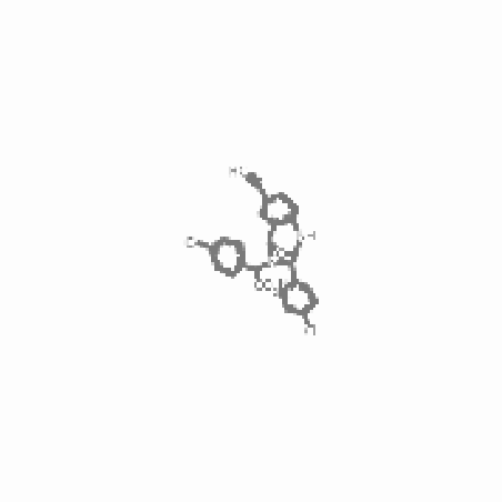 C#Cc1ccc2c(c1)C1OC(N2)C(c2ccc(Cl)cc2)N1C(C(=O)O)c1ccc(Cl)cc1